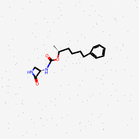 C[C@H](CCCCc1ccccc1)OC(=O)N[C@H]1CNC1=O